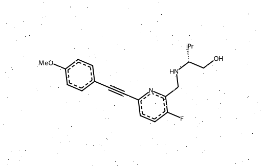 COc1ccc(C#Cc2ccc(F)c(CN[C@@H](CO)C(C)C)n2)cc1